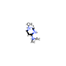 CC(=O)N(C(C)=O)c1cc[n+](C)cn1